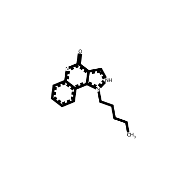 CCCCCn1[nH]cc2c(=O)nc3ccccc3c1-2